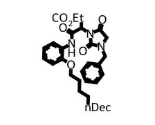 CCCCCCCCCCCCCCOc1ccccc1NC(=O)C(C(=O)OCC)N1C(=O)CN(Cc2ccccc2)C1=O